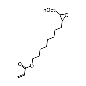 C=CC(=O)OCCCCCCCCC1OC1CCCCCCCC